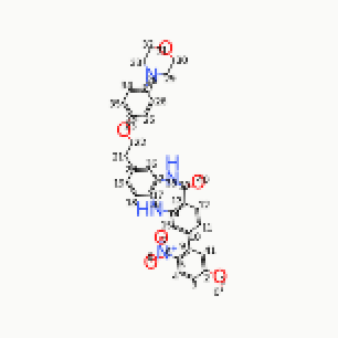 COc1ccc([N+](=O)[O-])c(-c2ccc3c(c2)Nc2ccc(CCOc4ccc(N5CCOCC5)cc4)cc2NC3=O)c1